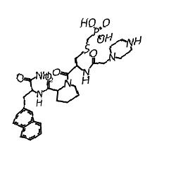 NC(=O)C(Cc1ccc2ccccc2c1)NC(=O)C1CCCCN1C(=O)C(CSCP(=O)(O)O)NC(=O)CN1CCNCC1